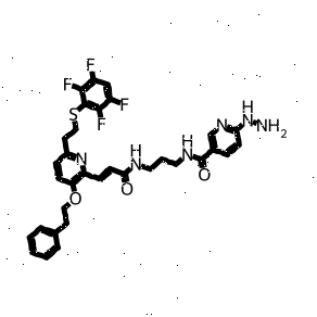 NNc1ccc(C(=O)NCCCNC(=O)C=Cc2nc(CCSc3c(F)c(F)cc(F)c3F)ccc2OCCc2ccccc2)cn1